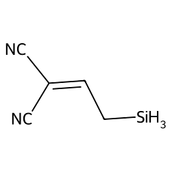 N#CC(C#N)=CC[SiH3]